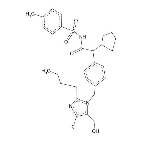 CCCCc1nc(Cl)c(CO)n1Cc1ccc(C(C(=O)NS(=O)(=O)c2ccc(C)cc2)C2CCCC2)cc1